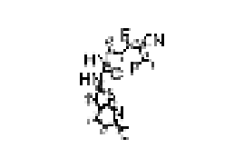 CC(CC(F)C(C#N)C(C)F)NC(=O)Nc1nc2ccc(Cl)nc2s1